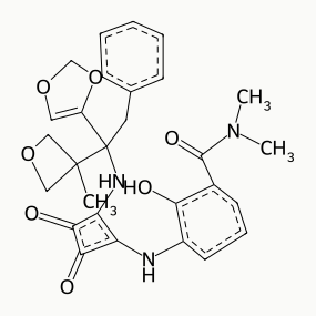 CN(C)C(=O)c1cccc(Nc2c(NC(Cc3ccccc3)(C3=COCO3)C3(C)COC3)c(=O)c2=O)c1O